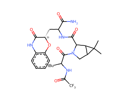 CC(C)(C)C(NC(=O)C(F)(F)F)C(=O)N1CC2C(C1C(=O)NC(C[C@@H]1Oc3ccccc3NC1=O)C(N)=O)C2(C)C